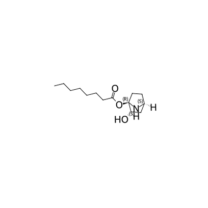 CCCCCCCC(=O)O[C@]12CC[C@@H](C[C@@H]1O)N2